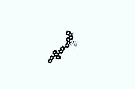 CC1(C)c2ccc(-c3ccc4cc(-c5c6ccccc6c(-c6ccc7ccccc7c6)c6ccccc56)ccc4c3)cc2-c2ccc3c(ccc4oc5ccccc5c43)c21